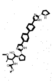 COC(=O)N[C@H](C(O)N1CCC[C@H]1c1ncc(-c2ccc(-c3ccc(-c4cnc([C@@H]5CCCN5)[nH]4)cc3)cc2)[nH]1)[C@@H](C)OC